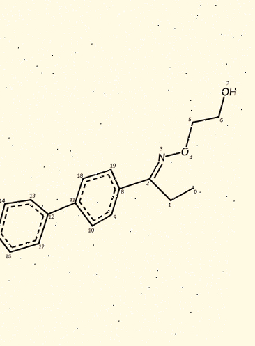 CCC(=NOCCO)c1ccc(-c2ccccc2)cc1